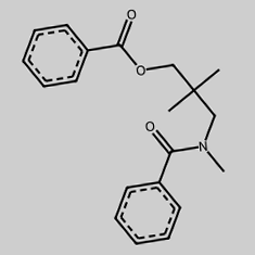 CN(CC(C)(C)COC(=O)c1ccccc1)C(=O)c1ccccc1